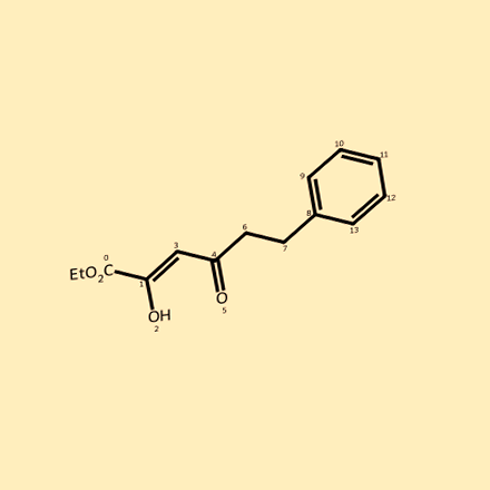 CCOC(=O)/C(O)=C/C(=O)CCc1ccccc1